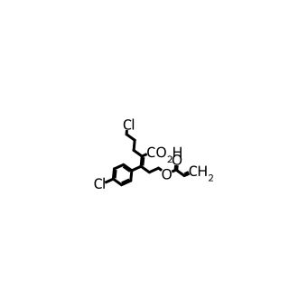 C=CC(=O)OCCC(=C(CCCCl)C(=O)O)c1ccc(Cl)cc1